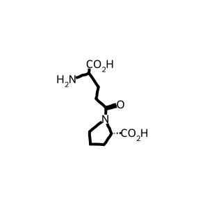 NC(CCC(=O)N1CCC[C@H]1C(=O)O)C(=O)O